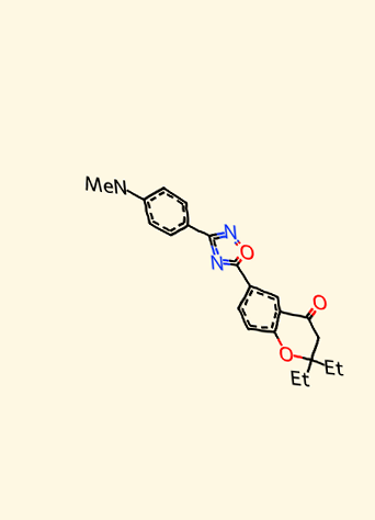 CCC1(CC)CC(=O)c2cc(-c3nc(-c4ccc(NC)cc4)no3)ccc2O1